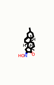 CC1CC[C@@]2(C)C(=CC[C@@H]3[C@H]2CC[C@]2(C)C(=O)C(=NO)C[C@@H]32)C1